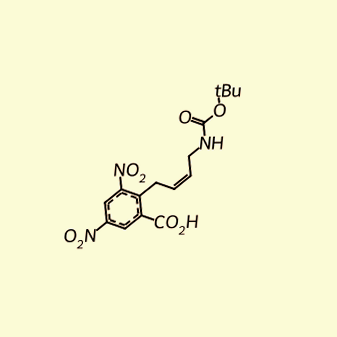 CC(C)(C)OC(=O)NC/C=C\Cc1c(C(=O)O)cc([N+](=O)[O-])cc1[N+](=O)[O-]